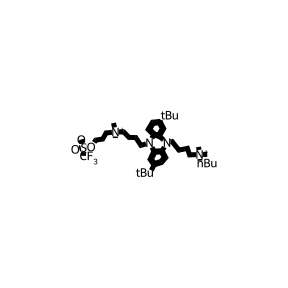 CCCC[N+](C)(C)CCCCN1c2cc(C(C)(C)C)ccc2N(CCCC[N+](C)(C)CCCOS(=O)(=O)C(F)(F)F)c2cc(C(C)(C)C)ccc21